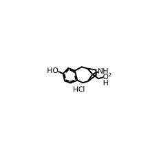 Cl.NC1(CO)C2CCC1Cc1cc(O)ccc1C2